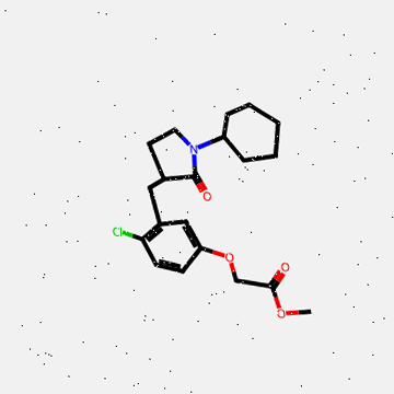 COC(=O)COc1ccc(Cl)c(CC2CCN(C3CCCCC3)C2=O)c1